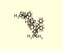 CN(C)c1nnc(C2=C(C(=O)OC(c3ccccc3)c3ccccc3)N3C(=O)C(NC(=O)Cc4ccccc4C(=O)OC(C)(C)C)[C@@H]3SC2)s1